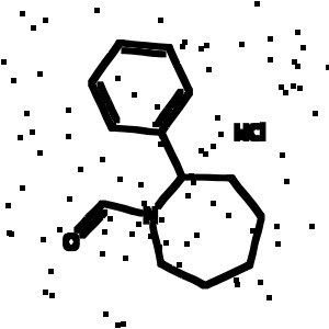 Cl.O=CN1CCCCCC1c1ccccc1